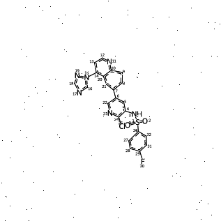 O=S(=O)(Nc1cc(-c2ccc3nccc(-n4cncn4)c3c2)cnc1Cl)c1ccc(F)cc1